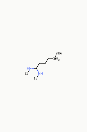 CCCC[SiH2]CCCC(NCC)NCC